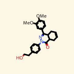 COc1ccc(C2=NN(c3ccc(CCO)cc3)C(=O)C3CC=CCC23)cc1OC